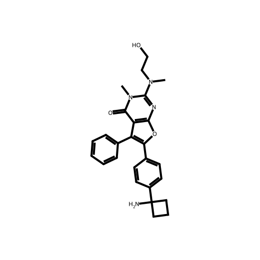 CN(CCO)c1nc2oc(-c3ccc(C4(N)CCC4)cc3)c(-c3ccccc3)c2c(=O)n1C